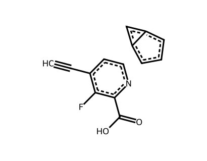 C#Cc1ccnc(C(=O)O)c1F.c1cc2cc-2c1